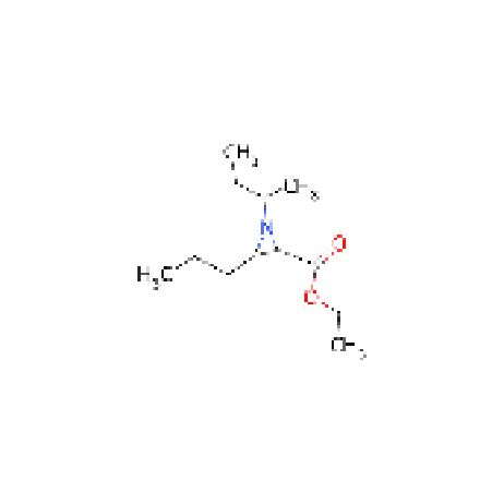 CCCC1C(C(=O)OCC)N1C(C)CC